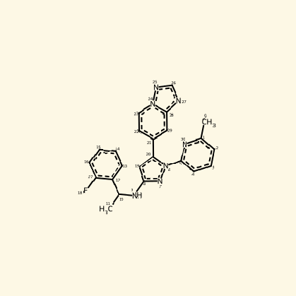 Cc1cccc(-n2nc(NC(C)c3ccccc3F)cc2-c2ccn3ncnc3c2)n1